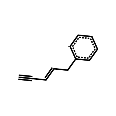 C#CC=CCc1[c]cccc1